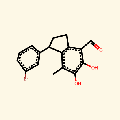 Cc1c(O)c(O)c(C=O)c2c1C(c1cccc(Br)c1)CC2